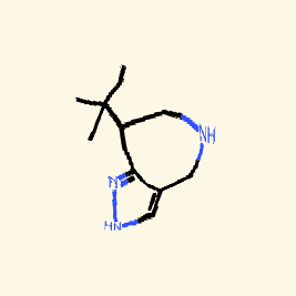 CC(C)(C)C1CNCc2c[nH]nc21